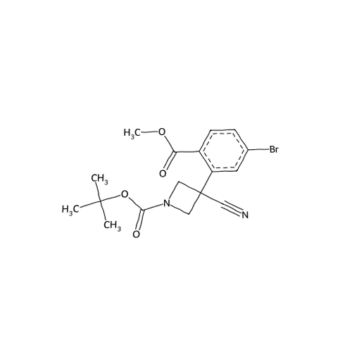 COC(=O)c1ccc(Br)cc1C1(C#N)CN(C(=O)OC(C)(C)C)C1